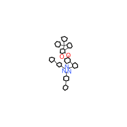 c1ccc(-c2ccc(-c3nc(-c4ccc(-c5ccccc5)cc4)nc(-c4ccccc4-c4ccc5c(c4)Oc4c(ccc6c4-c4ccccc4C6(c4ccccc4)c4ccccc4)O5)n3)cc2)cc1